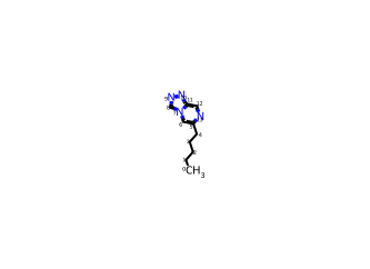 CCCCCc1cn2cnnc2cn1